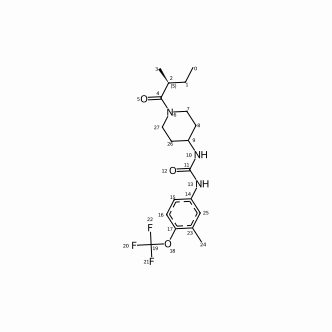 CC[C@H](C)C(=O)N1CCC(NC(=O)Nc2ccc(OC(F)(F)F)c(C)c2)CC1